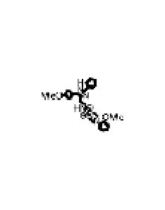 COc1ccc(-c2[nH]c(-c3ccccc3)nc2CCNS(=O)(=O)N2CCN(c3ccccc3OC)CC2)cc1